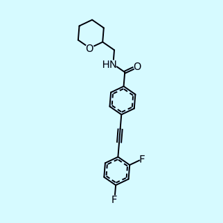 O=C(NCC1CCCCO1)c1ccc(C#Cc2ccc(F)cc2F)cc1